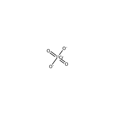 [O]=[51Cr](=[O])([O-])[O-]